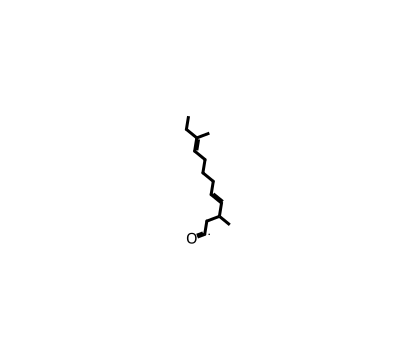 CC/C(C)=C/CCC/C=C/C(C)C[C]=O